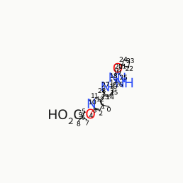 Cc1cc(OCC(C)(C)C(=O)O)ncc1-c1ccc(-c2nc(OC3CCC3)n[nH]2)nc1